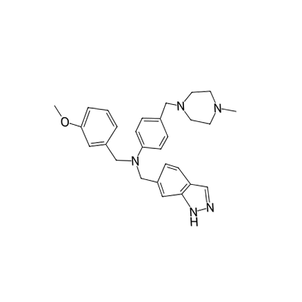 COc1cccc(CN(Cc2ccc3cn[nH]c3c2)c2ccc(CN3CCN(C)CC3)cc2)c1